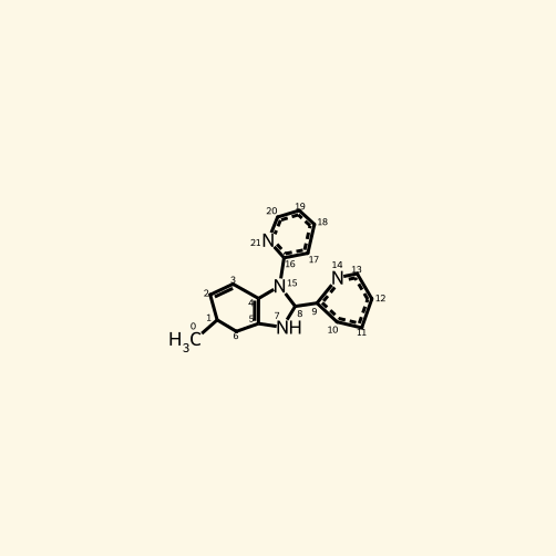 CC1C=CC2=C(C1)NC(c1ccccn1)N2c1ccccn1